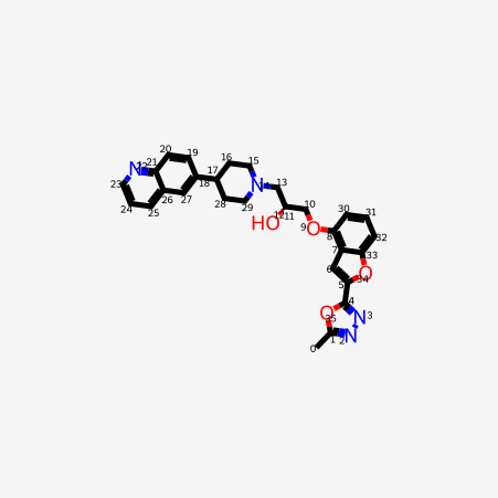 Cc1nnc(-c2cc3c(OC[C@@H](O)CN4CCC(c5ccc6ncccc6c5)CC4)cccc3o2)o1